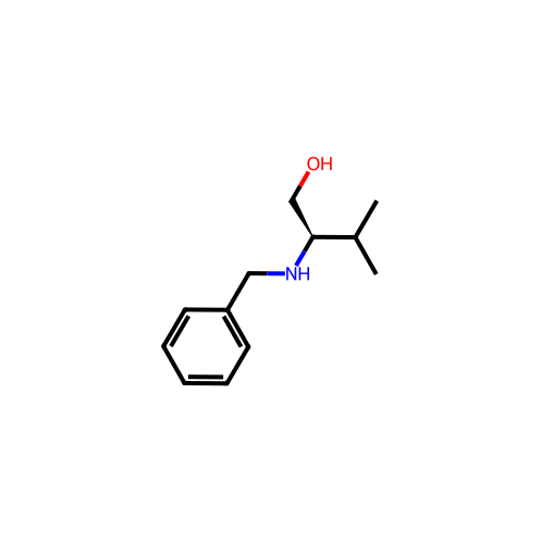 CC(C)[C@H](CO)NCc1ccccc1